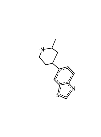 CC1CC(c2ccc3ncsc3c2)CC[N]1